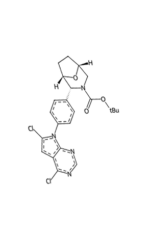 CC(C)(C)OC(=O)N1C[C@H]2CC[C@H](O2)[C@H]1c1ccc(-n2c(Cl)cc3c(Cl)ncnc32)cc1